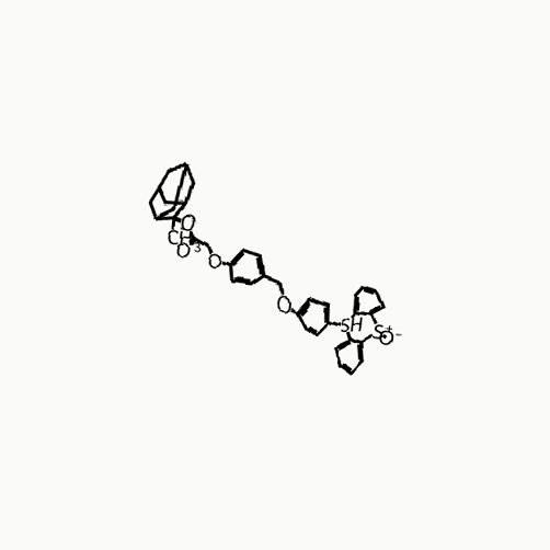 CC1(OC(=O)COc2ccc(COc3ccc([SH]4c5ccccc5[S+]([O-])c5ccccc54)cc3)cc2)C2CC3CC(C2)CC1C3